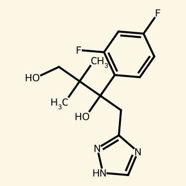 CC(C)(CO)C(O)(Cc1nc[nH]n1)c1ccc(F)cc1F